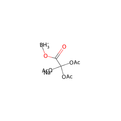 [BH3-]OC(=O)C(OC(C)=O)(OC(C)=O)OC(C)=O.[Na+]